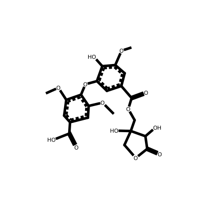 COc1cc(C(=O)OCC2(O)COC(=O)C2O)cc(Oc2c(OC)cc(C(=O)O)cc2OC)c1O